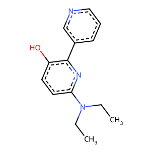 CCN(CC)c1ccc(O)c(-c2cccnc2)n1